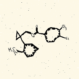 CCc1ccc(C(=O)OCC2(c3ccccc3C)CC2)cc1C